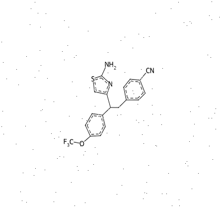 N#Cc1ccc(CC(c2ccc(OC(F)(F)F)cc2)c2csc(N)n2)cc1